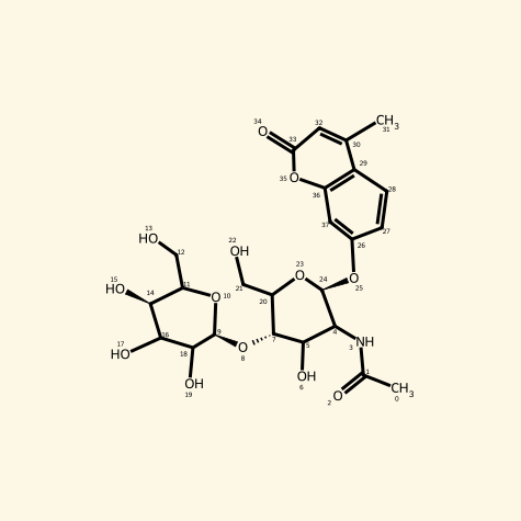 CC(=O)NC1C(O)[C@H](O[C@@H]2OC(CO)[C@H](O)C(O)C2O)C(CO)O[C@H]1Oc1ccc2c(C)cc(=O)oc2c1